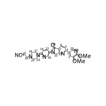 COc1cc(-c2ccc3c(n2)CN(c2ccc(N4CCN(CCC#N)CC4)nc2)C3=O)cnc1OC